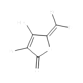 CC1=C(Br)C(=O)OC1=C(Br)Br